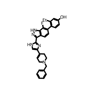 CCc1cc(O)ccc1-c1ccc2c(-c3nc(C4=CCN(Cc5ccccc5)CC4)c[nH]3)n[nH]c2c1F